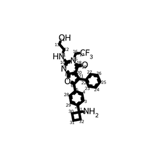 NC1(c2ccc(-c3oc4nc(NCCO)n(CC(F)(F)F)c(=O)c4c3-c3ccccc3)cc2)CCC1